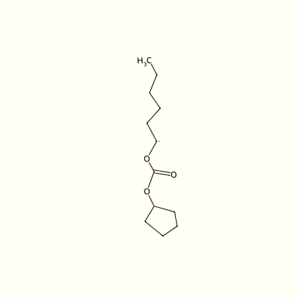 CCCCC[CH]OC(=O)OC1CCCC1